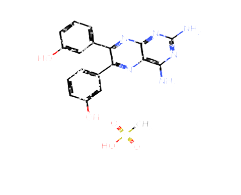 CS(=O)(=O)O.Nc1nc(N)c2nc(-c3cccc(O)c3)c(-c3cccc(O)c3)nc2n1